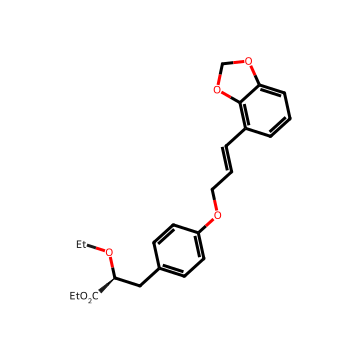 CCOC(=O)[C@H](Cc1ccc(OC/C=C/c2cccc3c2OCO3)cc1)OCC